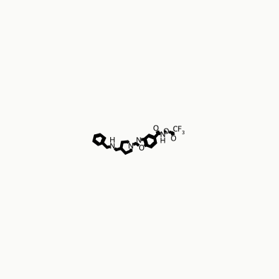 O=C(NOC(=O)C(F)(F)F)c1ccc2oc(N3CCC(CNCc4ccccc4)CC3)nc2c1